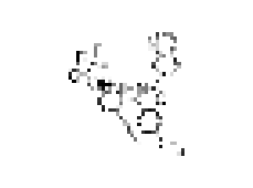 CC#Cc1cccnc1C(NC(=O)c1ccc2cccnc2c1)c1ccc(C(F)(F)F)cc1.O=C(O)C(F)(F)F